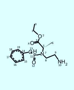 CCOC(=O)[C@H](C)N(CCN)[PH](=O)Oc1ccccc1